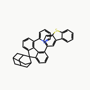 c1ccc(-c2cccc3c2-c2c(-c4ccc5sc6ccccc6c5c4)cccc2C32C3CC4CC(C3)CC2C4)nc1